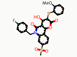 COc1ccccc1Sc1c(O)c2c(=O)n(Cc3ccc(F)cc3)c3cc(S(C)(=O)=O)ccc3c2oc1=O